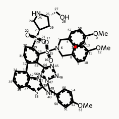 COc1ccc(CN(Cc2ccc(OC)cc2)S(=O)(=O)c2c(S(=O)(=O)[C@H]3CN[C@H](CO)C3)ccc(-c3cccc4sc(N)nc34)c2-c2nnn(Cc3ccc(OC)cc3)n2)cc1